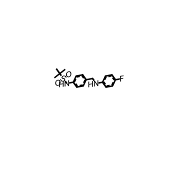 CC(C)(C)S(=O)(=O)Nc1ccc(CNc2ccc(F)cc2)cc1